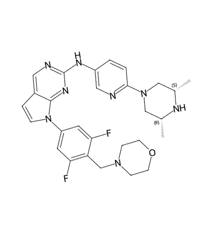 C[C@@H]1CN(c2ccc(Nc3ncc4ccn(-c5cc(F)c(CN6CCOCC6)c(F)c5)c4n3)cn2)C[C@H](C)N1